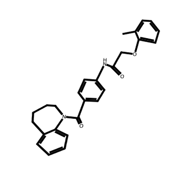 Cc1ccccc1OCC(=O)Nc1ccc(C(=O)N2CCCCc3ccccc32)cc1